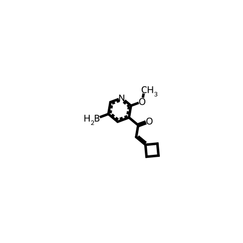 Bc1cnc(OC)c(C(=O)C=C2CCC2)c1